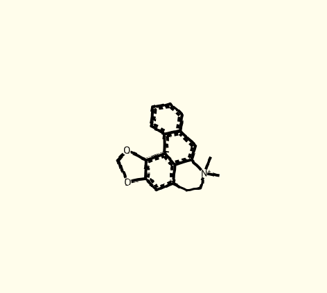 C[N+]1(C)CCc2cc3c(c4c2c1cc1ccccc14)OCO3